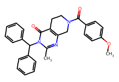 COc1ccc(C(=O)N2CCc3c(nc(C)n(C(c4ccccc4)c4ccccc4)c3=O)C2)cc1